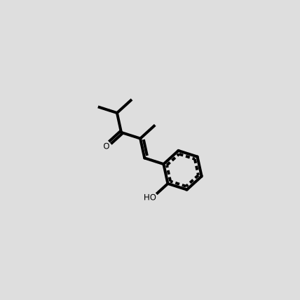 C/C(=C\c1ccccc1O)C(=O)C(C)C